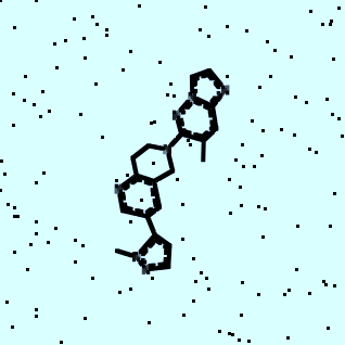 Cc1cc2nccn2nc1N1CCc2ncc(-c3ccnn3C)cc2C1